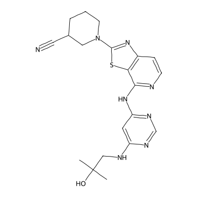 CC(C)(O)CNc1cc(Nc2nccc3nc(N4CCCC(C#N)C4)sc23)ncn1